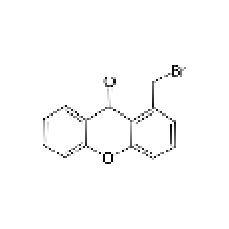 O=c1c2ccccc2oc2cccc(CBr)c12